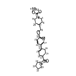 CC(C)(C)OC(=O)N1CCC(COc2ccc(C3=CCC(C(=O)N4CCCC4)CC3)cn2)CC1